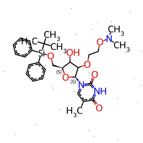 Cc1cn([C@H]2O[C@@H](CO[Si](c3ccccc3)(c3ccccc3)C(C)(C)C)C(O)C2OCCON(C)C)c(=O)[nH]c1=O